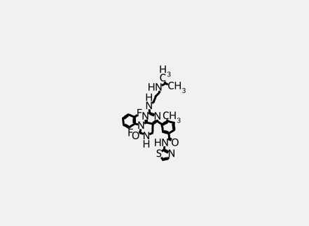 Cc1ccc(C(=O)Nc2nccs2)cc1-c1nc(NCCCNC(C)C)nc2c1CNC(=O)N2c1c(F)cccc1F